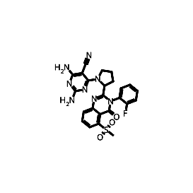 CS(=O)(=O)c1cccc2nc(C3CCCN3c3nc(N)nc(N)c3C#N)n(-c3ccccc3F)c(=O)c12